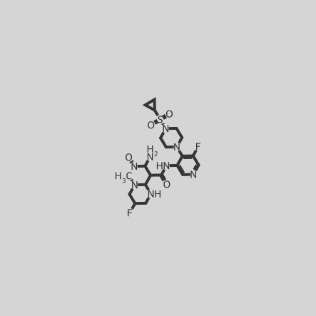 CN1CC(F)CNC1C(C(=O)Nc1cncc(F)c1N1CCN(S(=O)(=O)C2CC2)CC1)C(N)N=O